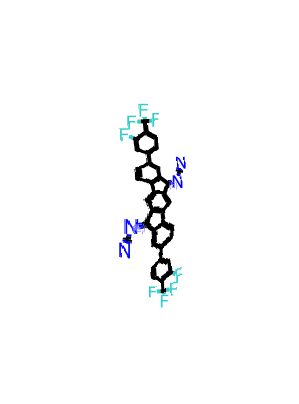 N#C/N=c1\c2cc(C3=CC=C(C(F)(F)F)C(F)C3)ccc2c2cc3/c(=N/C#N)c4cc(-c5ccc(C(F)(F)F)c(F)c5)ccc4c3cc12